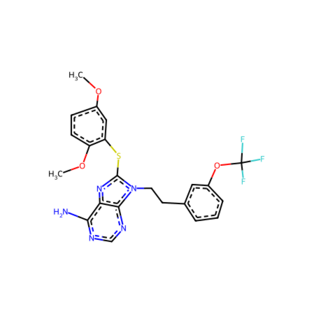 COc1ccc(OC)c(Sc2nc3c(N)ncnc3n2CCc2cccc(OC(F)(F)F)c2)c1